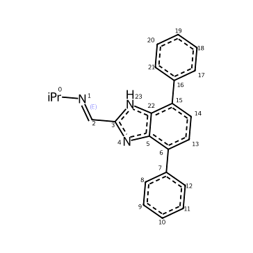 CC(C)/N=C/c1nc2c(-c3ccccc3)ccc(-c3ccccc3)c2[nH]1